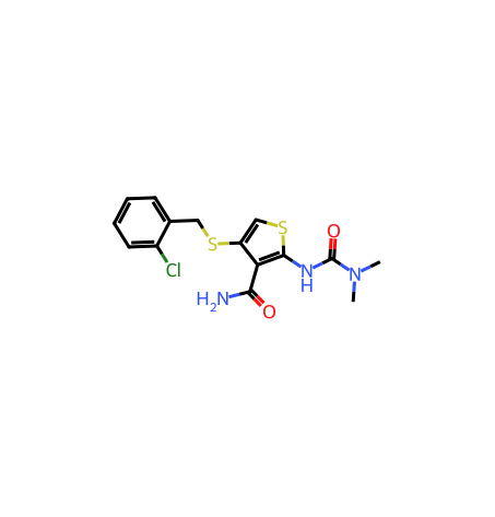 CN(C)C(=O)Nc1scc(SCc2ccccc2Cl)c1C(N)=O